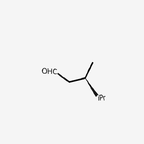 CC(C)[C@H](C)CC=O